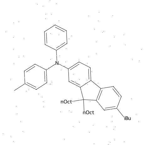 CCCCCCCCC1(CCCCCCCC)c2cc(C(C)CC)ccc2-c2ccc(N(c3ccccc3)c3ccc(C)cc3)cc21